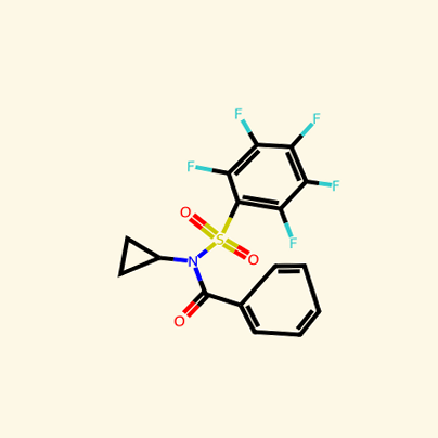 O=C(c1ccccc1)N(C1CC1)S(=O)(=O)c1c(F)c(F)c(F)c(F)c1F